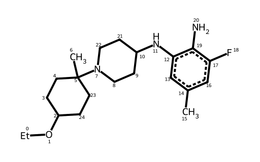 CCOC1CCC(C)(N2CCC(Nc3cc(C)cc(F)c3N)CC2)CC1